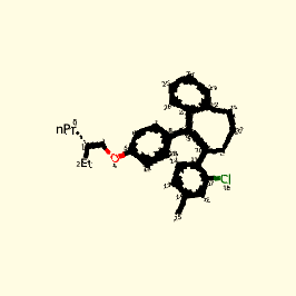 CCC[C@@H](CC)COc1ccc(C2=C(c3ccc(C)cc3Cl)CCCc3ccccc32)cc1